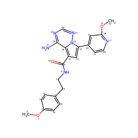 COc1ccc(CCNC(=O)c2cc(-c3ccnc(OC)c3)n3ncnc(N)c23)cc1